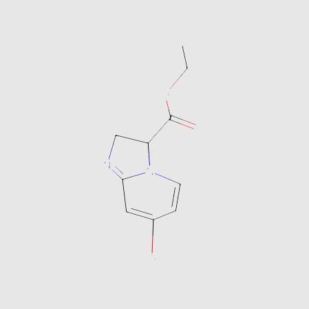 CCOC(=O)C1CN=C2C=C(O)C=CN21